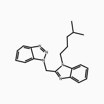 CC(C)CCCn1c(Cn2nnc3ccccc32)nc2ccccc21